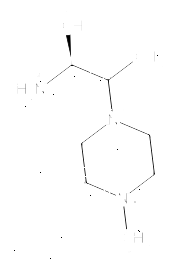 CC([C@H](C)N)N1CCN(C)CC1